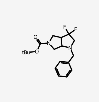 CC(C)(C)OC(=O)N1CC2C(C1)C(F)(F)CN2Cc1ccccc1